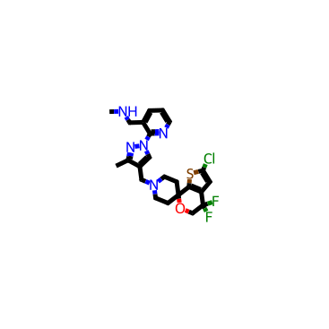 CNCc1cccnc1-n1cc(CN2CCC3(CC2)OCC(F)(F)c2cc(Cl)sc23)c(C)n1